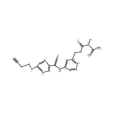 C#CCCOc1cnc(C(=O)Nc2ccnc(CCC(=O)N(C)C(=N)N)c2)cn1